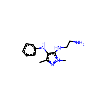 Cc1nn(C)c(NCCN)c1Nc1ccccc1